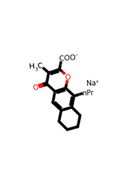 CCCc1c2c(cc3c(=O)c(C)c(C(=O)[O-])oc13)CCCC2.[Na+]